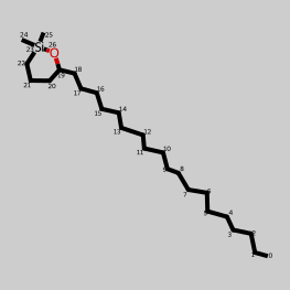 CCCCCCCCCCCCCCCCCCCC1CCC[Si](C)(C)O1